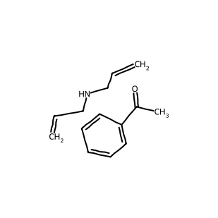 C=CCNCC=C.CC(=O)c1ccccc1